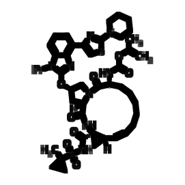 C=C(C)OC(=O)N[C@H]1CCCCC/C=C\[C@@H]2C[C@@]2(C(=O)NS(=O)(=O)C2(C)CC2)NC(=O)[C@@H]2C[C@@H](Oc3nc4c(-c5csc(N6CCCCC6)n5)cccc4n3C(C)C)CN2C1=O